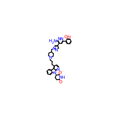 Nc1nnc(-c2ccccc2O)cc1-c1cnn(CC2CCN(CCCc3ccnc4c3c3ccccc3n4C3CCC(=O)NC3=O)CC2)c1